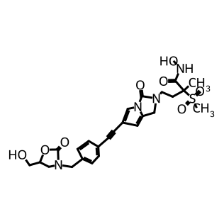 CC(CCN1Cc2cc(C#Cc3ccc(CN4CC(CO)OC4=O)cc3)cn2C1=O)(C(=O)NO)S(C)(=O)=O